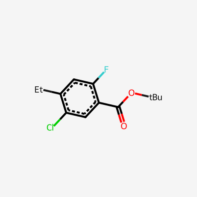 CCc1cc(F)c(C(=O)OC(C)(C)C)cc1Cl